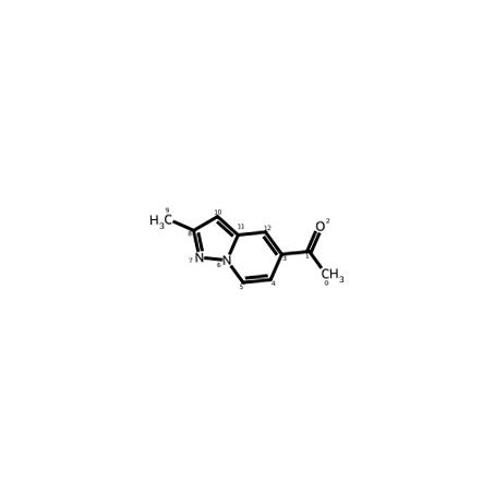 CC(=O)c1ccn2nc(C)cc2c1